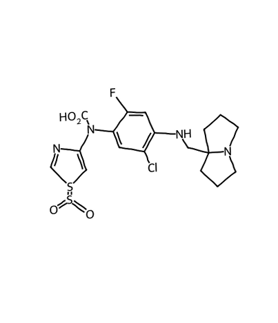 O=C(O)N(C1=CS(=S(=O)=O)C=N1)c1cc(Cl)c(NCC23CCCN2CCC3)cc1F